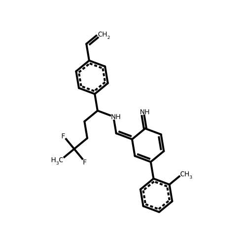 C=Cc1ccc(C(CCC(C)(F)F)N/C=C2/C=C(c3ccccc3C)C=CC2=N)cc1